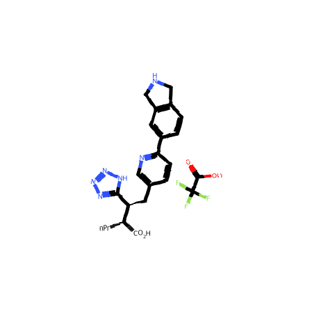 CCC[C@H](C(=O)O)[C@H](Cc1ccc(-c2ccc3c(c2)CNC3)nc1)c1nnn[nH]1.O=C(O)C(F)(F)F